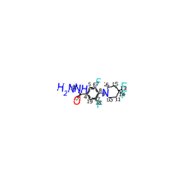 NNC(=O)c1cc(F)c(N2CCC(F)(F)CC2)c(F)c1